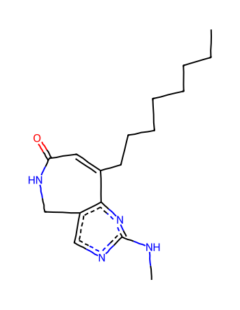 CCCCCCCCC1=CC(=O)NCc2cnc(NC)nc21